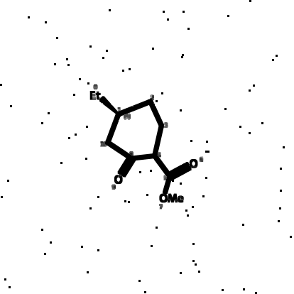 CC[C@H]1CCC(C(=O)OC)C(=O)C1